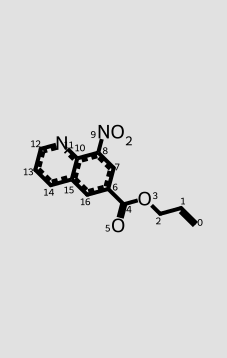 C=CCOC(=O)c1cc([N+](=O)[O-])c2ncccc2c1